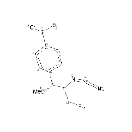 CC[S+]([O-])c1ccc([C@@H](OC)[C@@H](CF)N=[N+]=[N-])cc1